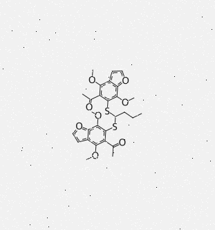 CCCC(Sc1c(C(C)=O)c(OC)c2ccoc2c1OC)Sc1c(C(C)=O)c(OC)c2ccoc2c1OC